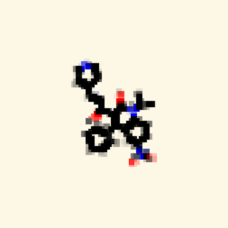 CC(C)n1c(=O)c(C(=O)/C=C/c2ccncc2)c(-c2ccccc2)c2cc([N+](=O)[O-])ccc21